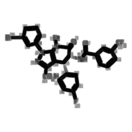 CCN1C(=O)[C@H](NC(=O)c2cccc(C(F)(F)F)c2)[C@H](c2ccc(F)cc2)c2c(C(=O)O)nn(-c3cccc(Br)c3)c21